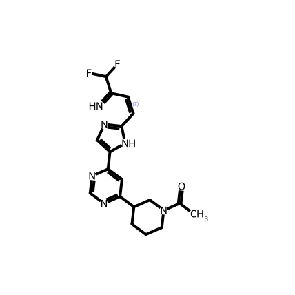 CC(=O)N1CCCC(c2cc(-c3cnc(/C=C\C(=N)C(F)F)[nH]3)ncn2)C1